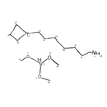 CO[SiH](OC)OC.NCCCCCCN1CCC1